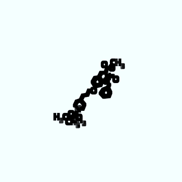 COC(=O)C(Cc1ccc(OCCCC2CCN(C(=O)OC(C)(C)C)CC2)cc1)N(C=O)OCc1ccccc1